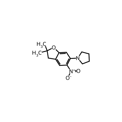 CC1(C)Cc2cc([N+](=O)[O-])c(N3CCCC3)cc2O1